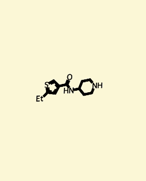 CCc1cc(C(=O)NC2CCNCC2)cs1